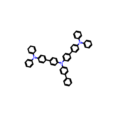 C1=CC(N(c2ccccc2)c2ccc(-c3ccc(N(c4ccc(-c5ccccc5)cc4)c4ccc(-c5ccc(N(c6ccccc6)c6ccccc6)cc5)cc4)cc3)cc2)=CCC1